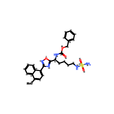 COc1ccc(-c2noc([C@H](CCCCNS(N)(=O)=O)NC(=O)OCc3ccccc3)n2)c2ccccc12